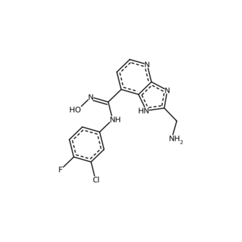 NCc1nc2nccc(/C(=N/O)Nc3ccc(F)c(Cl)c3)c2[nH]1